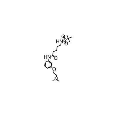 CN(C)CCOc1cccc(NC(=O)CCCCNS(=O)(=O)C(C)(C)C)c1